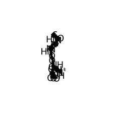 [N-]=[N+]=NC1C[C@@H](C(=O)NCCOCCOCCNc2ncc(CN3CCCC(c4nc(=O)cc(-c5cccs5)[nH]4)C3)cn2)N(C(=O)c2ccc3c(=O)oc(=O)[nH]c3c2)C1